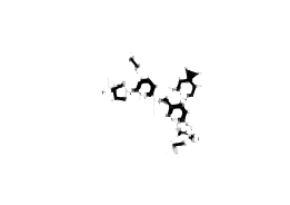 CCCOc1ccc(NC(=O)c2cnc(NS(=O)(=O)CCO)cc2N2CCC3(CC2)CC3)nc1N1CCC(C)(F)C1